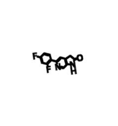 O=C1Cc2cc(-c3ccc(F)cc3F)ncc2N1